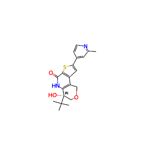 Cc1cc(-c2cc3c4c([nH]c(=O)c3s2)[C@](O)(C(C)(C)C)COC4)ccn1